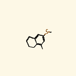 CSc1cc(C)c2c(c1)CCCC2